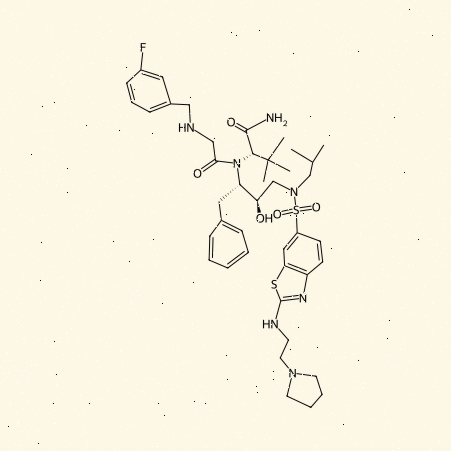 CC(C)CN(C[C@@H](O)[C@H](Cc1ccccc1)N(C(=O)CNCc1cccc(F)c1)[C@H](C(N)=O)C(C)(C)C)S(=O)(=O)c1ccc2nc(NCCN3CCCC3)sc2c1